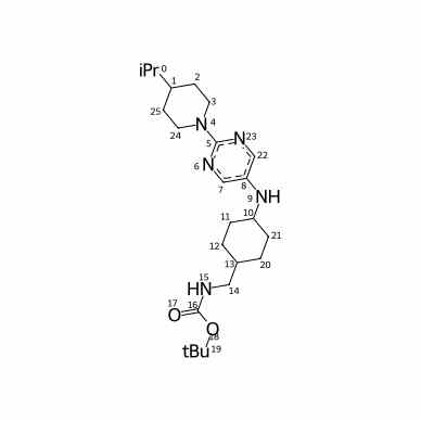 CC(C)C1CCN(c2ncc(NC3CCC(CNC(=O)OC(C)(C)C)CC3)cn2)CC1